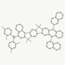 Cc1ccc(N(c2ccc(C)cc2C)c2cc3c(c4ccccc24)-c2cc4c(cc2C3(C)C)-c2cc3c(-c5cccc6ccccc56)c5ccccc5c(-c5ccc6ccccc6c5)c3cc2C4(C)C)c(C)c1